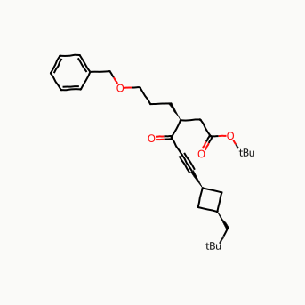 CC(C)(C)C[C@H]1C[C@@H](C#CC(=O)[C@@H](CCCOCc2ccccc2)CC(=O)OC(C)(C)C)C1